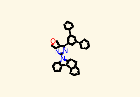 c1ccc(-c2cc(-c3ccccc3)cc(-c3nc(-n4c5ccccc5c5c6ccccc6ccc54)nc4cocc34)c2)cc1